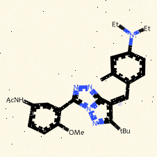 CCN(CC)c1ccc(/C=c2/c(C(C)(C)C)nn3c(-c4cc(NC(C)=O)ccc4OC)nnc23)c(C)c1